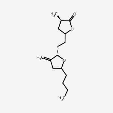 C=C1CC(CCCC)O[C@H]1CCC1C[C@@H](C)C(=O)O1